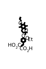 C=CCOc1c(C)c(C)c2c(c1C)CCC(C)(COc1ccc(C=C(C(=O)O)C(=O)O)cc1OCC)O2